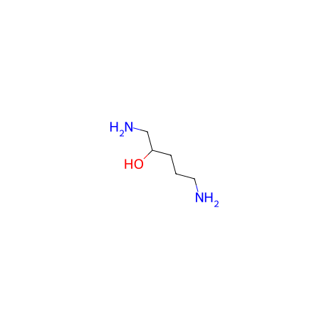 NCCCC(O)CN